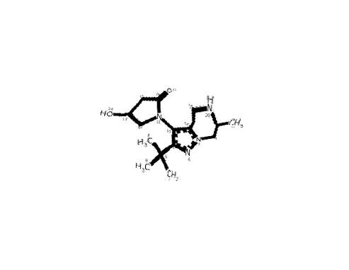 CC1Cn2nc(C(C)(C)C)c(N3CC(O)CC3=O)c2CN1